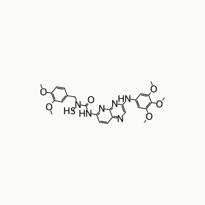 COc1ccc(CN(S)C(=O)Nc2ccc3ncc(Nc4cc(OC)c(OC)c(OC)c4)nc3n2)cc1OC